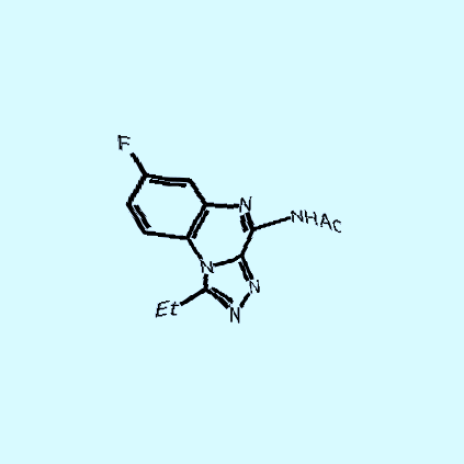 CCc1nnc2c(NC(C)=O)nc3cc(F)ccc3n12